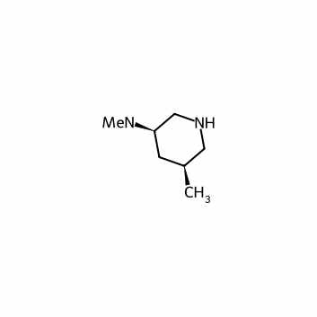 CN[C@H]1CNC[C@@H](C)C1